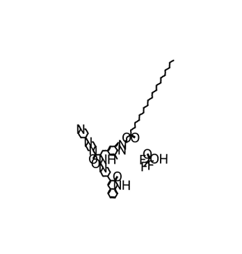 CCCCCCCCCCCCCCCCCCCCC(=O)OCn1cc2cc(CC(NC(=O)N3CCC(c4cc5ccccc5[nH]c4=O)CC3)C(=O)N3CCN(C4CCN(C)CC4)CC3)cc(C)c2n1.O=C(O)C(F)(F)F